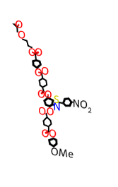 COc1ccc(OC(=O)C2CCC(C(=O)Oc3ccc(OC(=O)C4CCC(C(=O)Oc5ccc(C(=O)OCCCCOCC6CO6)cc5)CC4)c4sc(-c5ccc([N+](=O)[O-])cc5)nc34)CC2)cc1